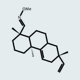 C=C[C@]1(C)CC=C2C(CCC3[C@@](C)(/C=N/OC)CCC[C@]23C)C1